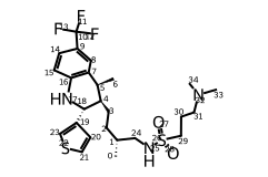 C[C@H](CC[C@@H]1[C@H](C)c2cc(C(F)(F)F)ccc2N[C@H]1c1ccsc1)CNS(=O)(=O)CCCN(C)C